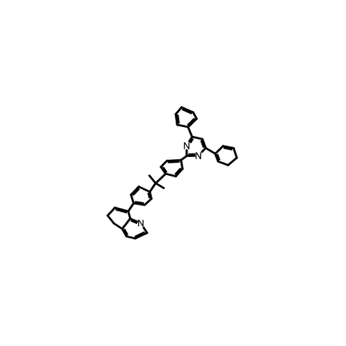 CC(C)(c1ccc(C2=CCCc3cccnc32)cc1)c1ccc(-c2nc(C3=CCCC=C3)cc(-c3ccccc3)n2)cc1